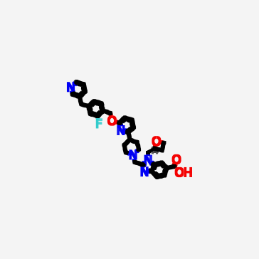 O=C(O)c1ccc2nc(CN3CCC(c4cccc(OCc5ccc(Cc6cccnc6)cc5F)n4)CC3)n(C[C@@H]3CCO3)c2c1